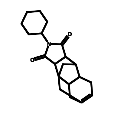 O=C1C2C3CC4(CC5=CCC3C4C5)C2C(=O)N1C1CCCCC1